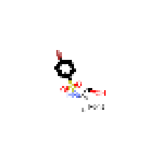 CCC[C@H](C)[C@@H](CO)NS(=O)(=O)c1ccc(Br)cc1